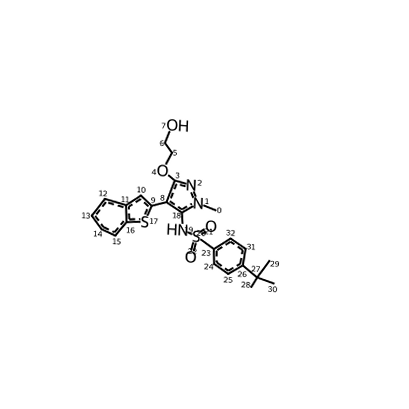 Cn1nc(OCCO)c(-c2cc3ccccc3s2)c1NS(=O)(=O)c1ccc(C(C)(C)C)cc1